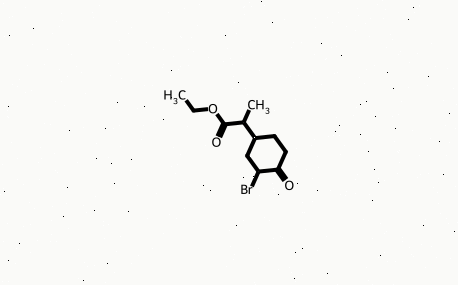 CCOC(=O)C(C)C1CCC(=O)C(Br)C1